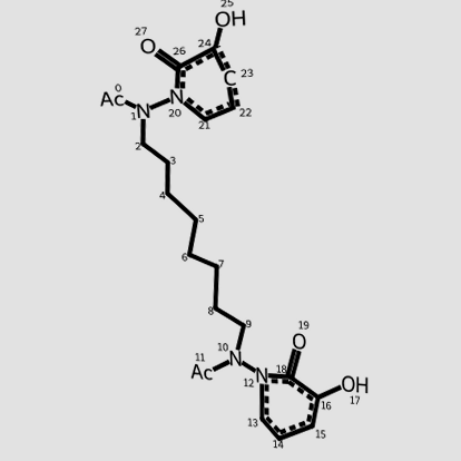 CC(=O)N(CCCCCCCCN(C(C)=O)n1cccc(O)c1=O)n1cccc(O)c1=O